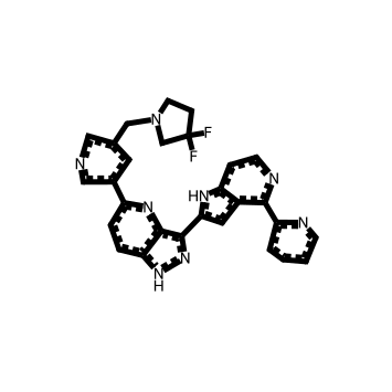 FC1(F)CCN(Cc2cncc(-c3ccc4[nH]nc(-c5cc6c(-c7ccccn7)nccc6[nH]5)c4n3)c2)C1